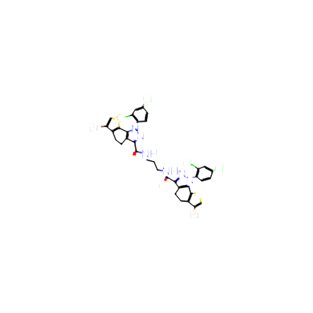 O=C(NCCCNC(=O)c1nn(-c2ccc(Cl)cc2Cl)c2c1CCc1c(Br)csc1-2)c1nn(-c2ccc(Cl)cc2Cl)c2c1CCc1c(Br)csc1-2